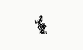 Cc1c(S(=O)(=O)NC2C(C)CCC2CC(C)(O)c2cc(-c3ccccc3)on2)c2n(c1C(=O)Nc1cc(F)nc(C#N)c1)CCC=C2